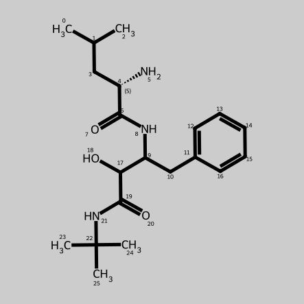 CC(C)C[C@H](N)C(=O)NC(Cc1ccccc1)C(O)C(=O)NC(C)(C)C